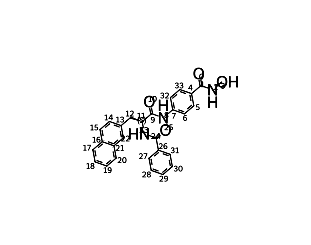 O=C(NO)c1ccc(NC(=O)[C@H](Cc2ccc3ccccc3c2)NC(=O)c2ccccc2)cc1